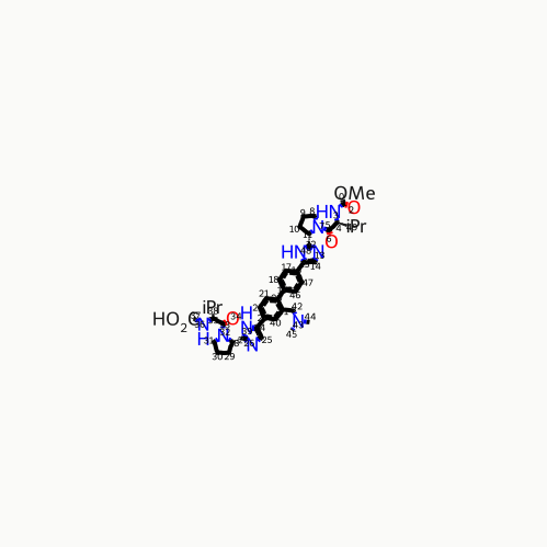 COC(=O)N[C@H](C(=O)N1CCC[C@H]1c1ncc(-c2ccc(-c3ccc(-c4cnc([C@@H]5CCCN5C(=O)[C@@H](NC(=O)O)C(C)C)[nH]4)cc3CN(C)C)cc2)[nH]1)C(C)C